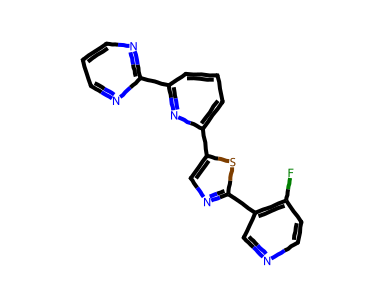 Fc1ccncc1-c1ncc(-c2cccc(-c3ncccn3)n2)s1